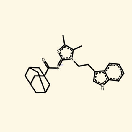 Cc1s/c(=N\C(=O)C23CC4CC(CC(C4)C2)C3)n(CCc2c[nH]c3ccccc23)c1C